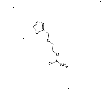 NC(=O)OCCSCc1ccco1